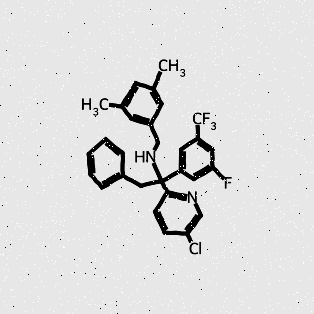 Cc1cc(C)cc(CNC(Cc2ccccc2)(c2cc(F)cc(C(F)(F)F)c2)c2ccc(Cl)cn2)c1